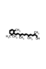 CC1=C(/C=C/C(C)=C/C=C/C(C)=C/C=C(\C)CO)C(C)(C)CC=C1